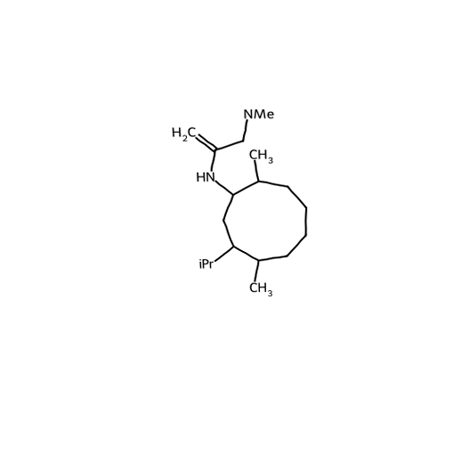 C=C(CNC)NC1CC(C(C)C)C(C)CCCCC1C